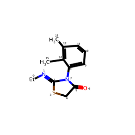 CCN=C1SCC(=O)N1c1cccc(C)c1C